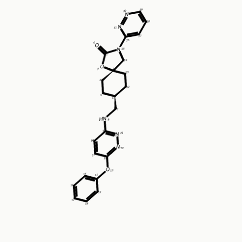 O=C1O[C@]2(CC[C@H](CNc3ccc(Oc4ccccc4)nn3)CC2)CN1c1cccnn1